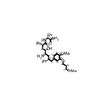 CCC[C@H](NC(=O)[C@@H](C[C@H](O)[C@@H](N)C[C@H](Cc1ccc(OC)c(OCCCOC)c1)C(C)C)C(C)C)C(N)=O